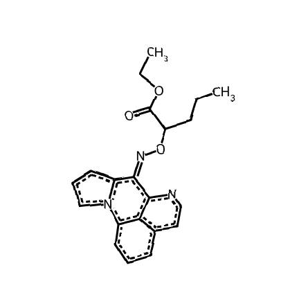 CCCC(ON=c1c2nccc3cccc(c32)n2cccc12)C(=O)OCC